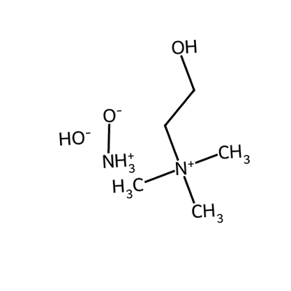 C[N+](C)(C)CCO.[NH3+][O-].[OH-]